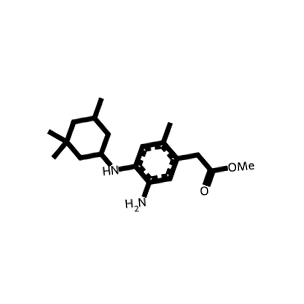 COC(=O)Cc1cc(N)c(NC2CC(C)CC(C)(C)C2)cc1C